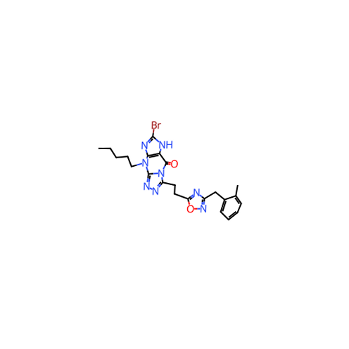 CCCCCn1c2nc(Br)[nH]c2c(=O)n2c(CCc3nc(Cc4ccccc4C)no3)nnc12